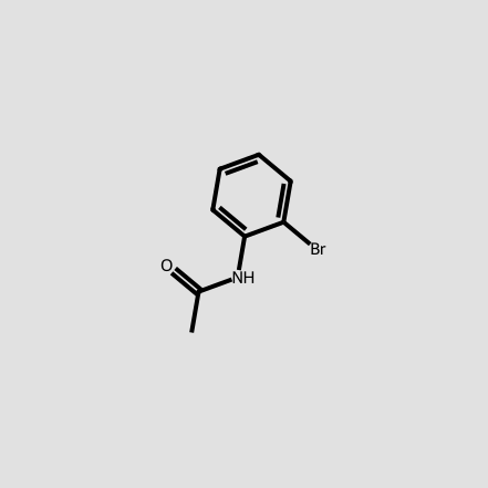 CC(=O)Nc1ccccc1Br